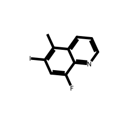 Cc1c(I)cc(F)c2ncccc12